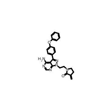 C=C1CCN(CCn2nc(-c3ccc(Oc4ccccc4)cc3)c3c(N)ncnc32)C1=O